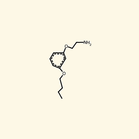 CCCCOc1cccc(OCCN)c1